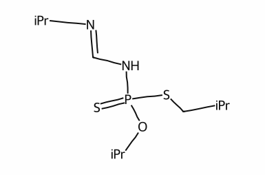 CC(C)CSP(=S)(NC=NC(C)C)OC(C)C